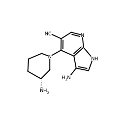 N#Cc1cnc2[nH]cc(N)c2c1N1CCC[C@@H](N)C1